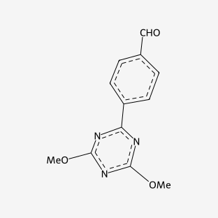 COc1nc(OC)nc(-c2ccc(C=O)cc2)n1